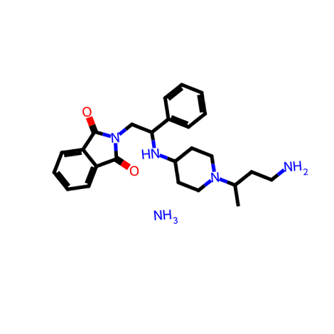 CC(CCN)N1CCC(NC(CN2C(=O)c3ccccc3C2=O)c2ccccc2)CC1.N